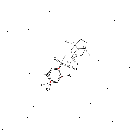 N[C@H](Cc1cc(F)c(F)cc1F)[C@@H]1C[C@H]2CC[C@@H](C1)N2C(=O)CS(=O)(=O)N1CCC(F)(F)CC1